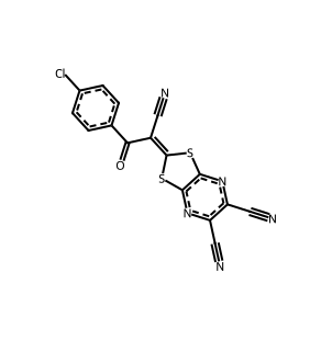 N#CC(C(=O)c1ccc(Cl)cc1)=C1Sc2nc(C#N)c(C#N)nc2S1